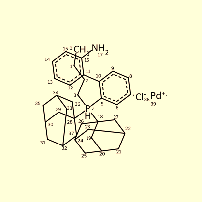 CCCC[PH](c1ccccc1-c1ccccc1N)(C12CC3CC(CC(C3)C1)C2)C12CC3CC(CC(C3)C1)C2.[Cl-].[Pd+]